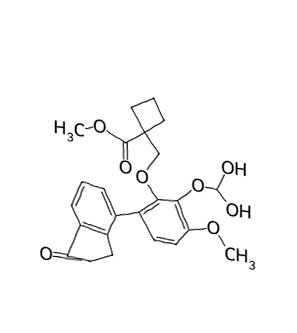 COC(=O)C1(COc2c(-c3cccc4c3CCC4=O)ccc(OC)c2OC(O)O)CCC1